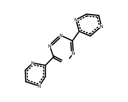 C=C(/N=N\C(=N/C)c1cnccn1)c1cnccn1